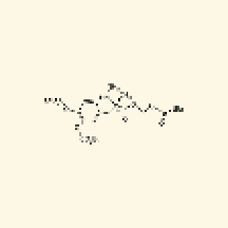 CCOC(=O)Oc1ccc(C[C@](C)(NN)C(=O)OCOC(=O)C(C)(C)C)cc1OC(=O)OCC